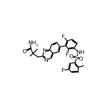 Cc1ccc(F)cc1S(=O)(=O)Nc1ccc(F)c(-c2ccc3nc(CC(C)(C)C(N)=O)ncc3c2)c1F